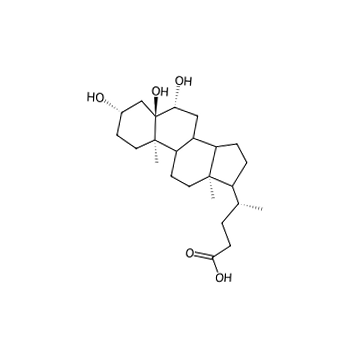 C[C@H](CCC(=O)O)C1CCC2C3C[C@@H](O)[C@@]4(O)C[C@@H](O)CC[C@]4(C)C3CC[C@@]21C